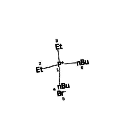 CCCC[P+](CC)(CC)CCCC.[Br-]